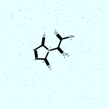 C=C(C(=O)O)N1C(=O)C=CC1=O